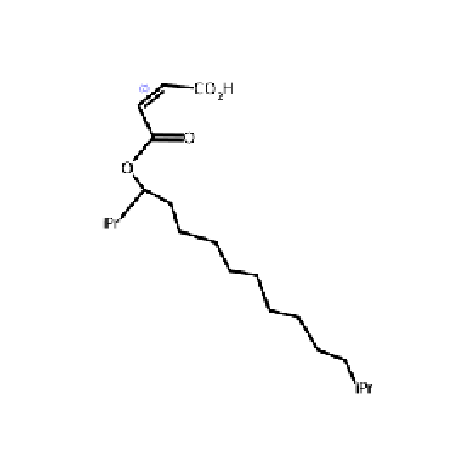 CC(C)CCCCCCCCCC(OC(=O)/C=C\C(=O)O)C(C)C